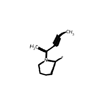 C=C(C#CC)N1CCCC1F